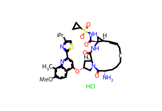 COc1ccc2c(O[C@@H]3C[C@H]4C(=O)N[C@]5(C(=O)NS(=O)(=O)C6CC6)C[C@H]5/C=C\CCCCC[C@H](N)C(=O)N4C3)cc(-c3nc(C(C)C)cs3)nc2c1C.Cl